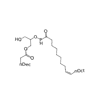 CCCCCCCC/C=C\CCCCCCCC(=O)POC(CO)COC(=O)CCCCCCCCCCC